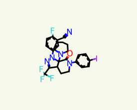 N#Cc1cc(N2N=C(C(F)(F)F)C3CCN(c4ccc(I)cc4)C(=O)C32N2CCCCC2)ccc1F